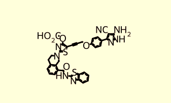 N#Cc1c(-c2ccc(OCC#Cc3sc(N4CCc5cccc(C(=O)Nc6nc7ccccc7s6)c5C4)nc3OC(=O)O)cc2)n[nH]c1N